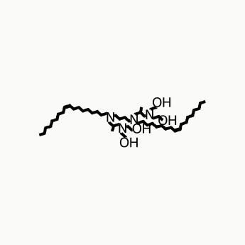 CCCCCCCC/C=C\CCCCCCCCN(CCCCN(CCCCCCCC/C=C\CCCCCCCC)CC(C)CN(CCO)CCO)CC(C)CN(CCO)CCO